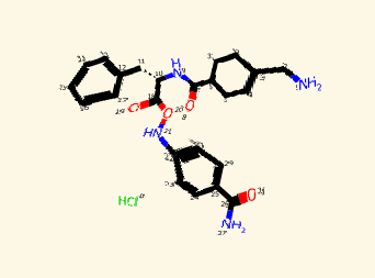 Cl.NCC1CCC(C(=O)N[C@@H](Cc2ccccc2)C(=O)ONc2ccc(C(N)=O)cc2)CC1